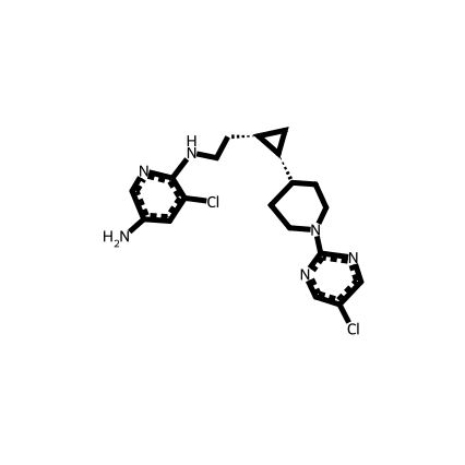 Nc1cnc(NCC[C@@H]2C[C@@H]2C2CCN(c3ncc(Cl)cn3)CC2)c(Cl)c1